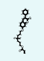 C=CC(=O)OCCCC(F)(F)CCCOc1ccc2cc(-c3ccccc3)c(=O)oc2c1